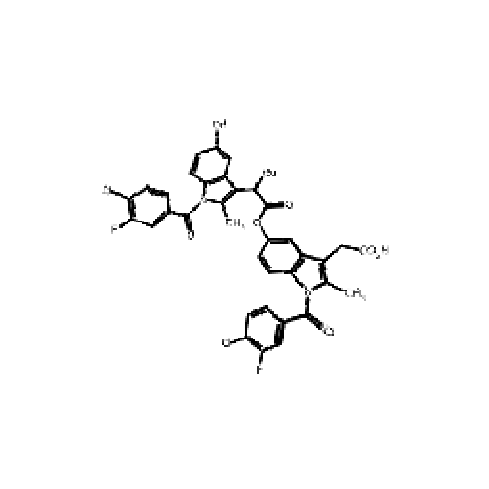 Cc1c(CC(=O)O)c2cc(OC(=O)C(c3c(C)n(C(=O)c4ccc(Cl)c(F)c4)c4ccc(O)cc34)C(C)(C)C)ccc2n1C(=O)c1ccc(Cl)c(F)c1